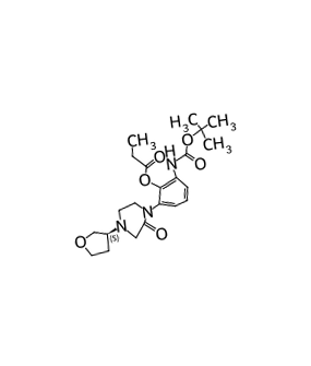 CCC(=O)Oc1c(NC(=O)OC(C)(C)C)cccc1N1CCN([C@H]2CCOC2)CC1=O